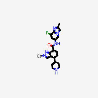 CCn1cc2c(C3=CCNCC3)ccc(C(=O)Nc3cc(F)c4nc(C)cn4c3)c2n1